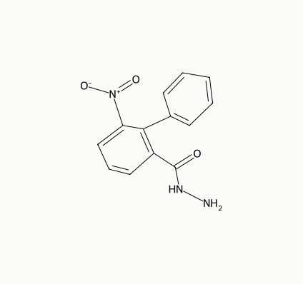 NNC(=O)c1cccc([N+](=O)[O-])c1-c1ccccc1